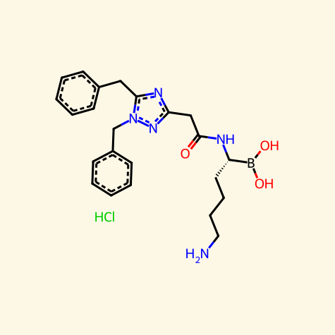 Cl.NCCCC[C@H](NC(=O)Cc1nc(Cc2ccccc2)n(Cc2ccccc2)n1)B(O)O